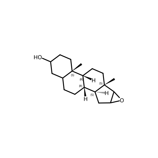 C[C@]12CCC(O)CC1CC[C@@H]1[C@H]2CC[C@]2(C)C3OC3C[C@@H]12